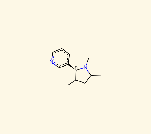 CC1CC(C)N(C)[C@@H]1c1cccnc1